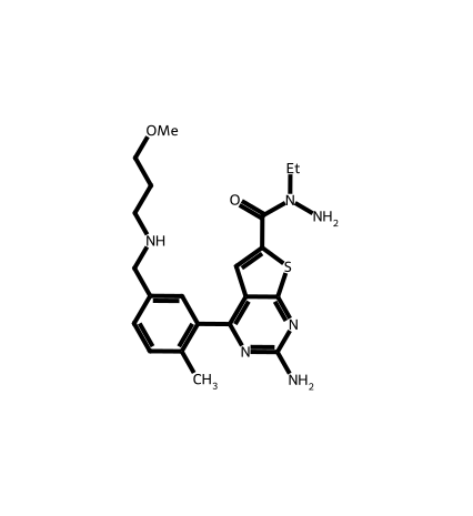 CCN(N)C(=O)c1cc2c(-c3cc(CNCCCOC)ccc3C)nc(N)nc2s1